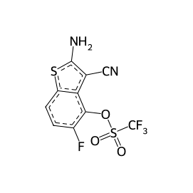 N#Cc1c(N)sc2ccc(F)c(OS(=O)(=O)C(F)(F)F)c12